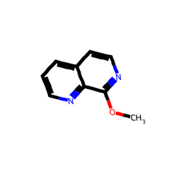 COc1nccc2cccnc12